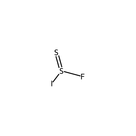 FS(=S)I